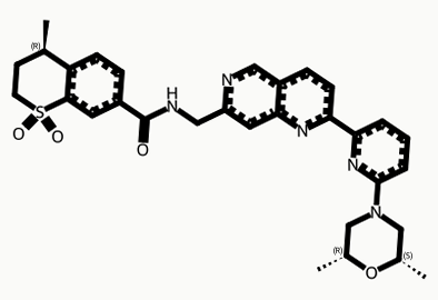 C[C@@H]1CN(c2cccc(-c3ccc4cnc(CNC(=O)c5ccc6c(c5)S(=O)(=O)CC[C@H]6C)cc4n3)n2)C[C@H](C)O1